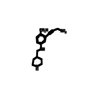 NCC#Cc1cc(NCC2CCNCC2)ccc1C(=O)O